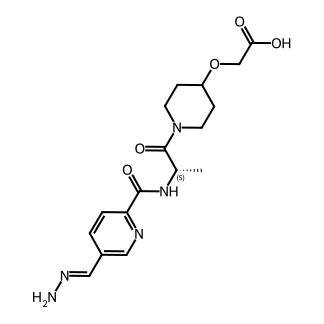 C[C@H](NC(=O)c1ccc(C=NN)cn1)C(=O)N1CCC(OCC(=O)O)CC1